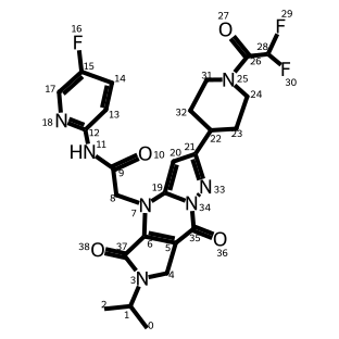 CC(C)N1Cc2c(n(CC(=O)Nc3ccc(F)cn3)c3cc(C4CCN(C(=O)C(F)F)CC4)nn3c2=O)C1=O